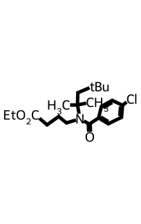 CCOC(=O)CCCN(C(=O)c1ccc(Cl)cc1)C(C)(C)CC(C)(C)C